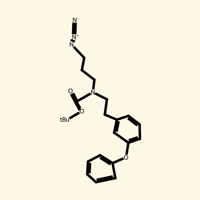 CC(C)(C)OC(=O)N(CCCN=[N+]=[N-])CCc1cccc(Oc2ccccc2)c1